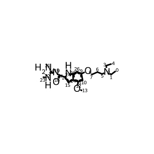 CCN(CC)CCCOc1cc(OC)c2cc(C(=O)N=C(N)NC)[nH]c2c1